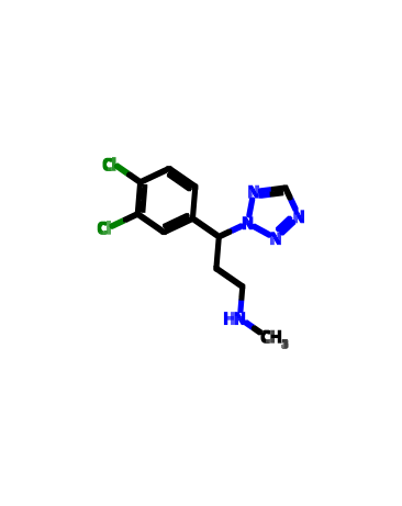 CNCCC(c1ccc(Cl)c(Cl)c1)n1ncnn1